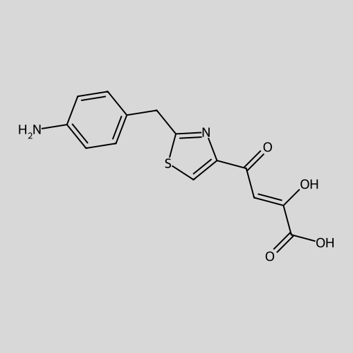 Nc1ccc(Cc2nc(C(=O)/C=C(\O)C(=O)O)cs2)cc1